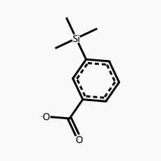 C[Si](C)(C)c1cccc(C([O])=O)c1